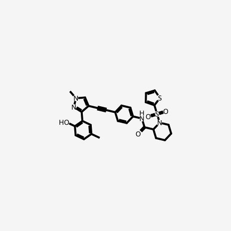 Cc1ccc(O)c(-c2nn(C)cc2C#Cc2ccc(NC(=O)C3CCCCN3S(=O)(=O)c3cccs3)cc2)c1